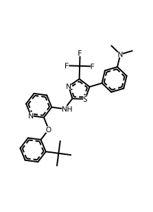 CN(C)c1cccc(-c2sc(Nc3cccnc3Oc3ccccc3C(C)(C)C)nc2C(F)(F)F)c1